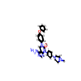 CN1CCN([C@H]2CC[C@H](N3C(=O)N(c4ccc(Oc5ccccc5)cc4)Cc4c(N)ncnc43)CC2)CC1